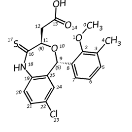 COc1c(C)cccc1[C@H]1O[C@H](CC(=O)O)C(=S)Nc2ccc(Cl)cc21